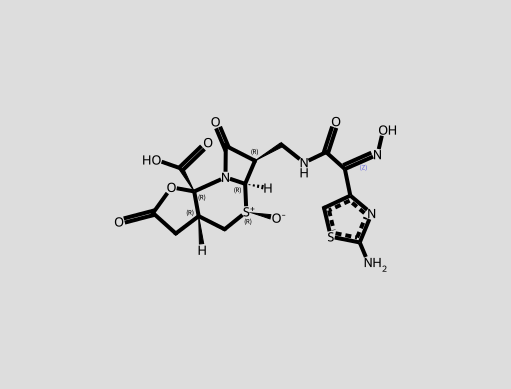 Nc1nc(/C(=N/O)C(=O)NC[C@@H]2C(=O)N3[C@@H]2[S@@+]([O-])C[C@@H]2CC(=O)O[C@@]23C(=O)O)cs1